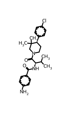 CC(C)[C@@H](NC(=O)c1ccc(N)cc1)C(=O)N1CC[C@H](c2ccc(Cl)cc2)C(C)(C)C1